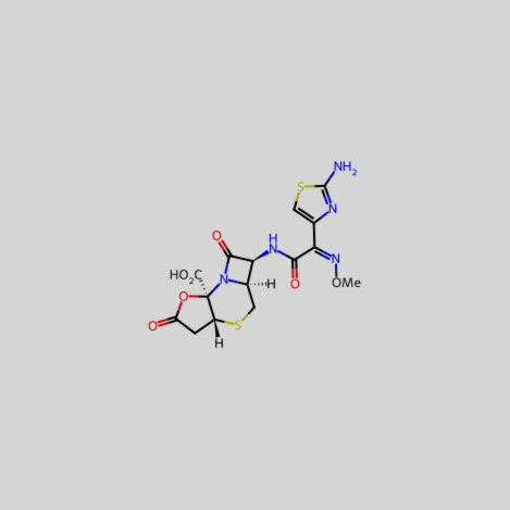 CO/N=C(\C(=O)N[C@@H]1C(=O)N2[C@@H]1CS[C@@H]1CC(=O)O[C@]12C(=O)O)c1csc(N)n1